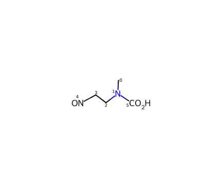 CN(CCN=O)C(=O)O